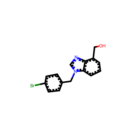 OCc1cccc2c1ncn2Cc1ccc(Br)cc1